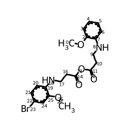 COc1ccccc1NCCC(=O)OC(=O)CCNc1ccc(Br)cc1OC